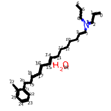 CCCN(CCC)CCCCCCCCCCCCCCc1ccccc1C.O